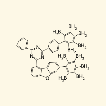 Bc1c(B)c(B)c(-c2ccc(-c3nc(-c4ccccc4)nc(-c4cccc5oc6cc(-c7c(B)c(B)c(B)c(B)c7B)ccc6c45)n3)cc2)c(B)c1B